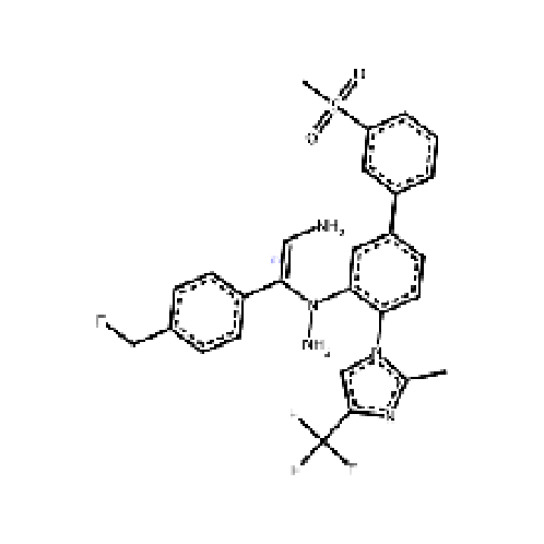 Cc1nc(C(F)(F)F)cn1-c1ccc(-c2cccc(S(C)(=O)=O)c2)cc1N(N)/C(=C\N)c1ccc(CF)cc1